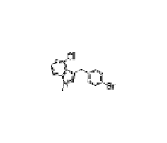 Cn1cc(Cc2ccc(Br)cc2)c2c(Cl)cccc21